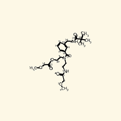 COCC(=O)NCCN(CCOC(=O)COC)C(=O)c1cccc(CNC(=O)C(C)(C)C)c1